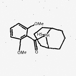 COc1cccc(OC)c1C(=O)[PH]1(S)C2CCCC1CCC2